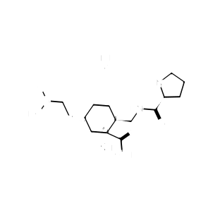 Cl.Cl.N[C@]1(C(=O)O)C[C@H](CCB(O)O)CC[C@H]1CNC(=O)[C@@H]1CCCN1